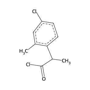 Cc1cc(Cl)ccc1C(C)C(=O)Cl